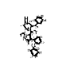 CCn1nc(C)c(-c2ccccc2Oc2ccccc2)c1C(=O)N1CCNCC1Cc1ccccc1